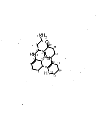 NCCC(NC1=CCCCC1)C1=NN(C2=CNCCC2)CCC1=O